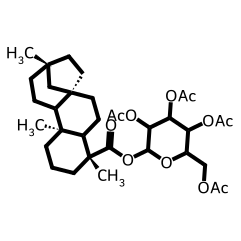 CC(=O)OCC1OC(OC(=O)[C@]2(C)CCC[C@@]3(C)C4CC[C@]5(C)CC[C@@]4(CCC32)C5)C(OC(C)=O)C(OC(C)=O)C1OC(C)=O